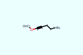 CCCCCCC#COC=O